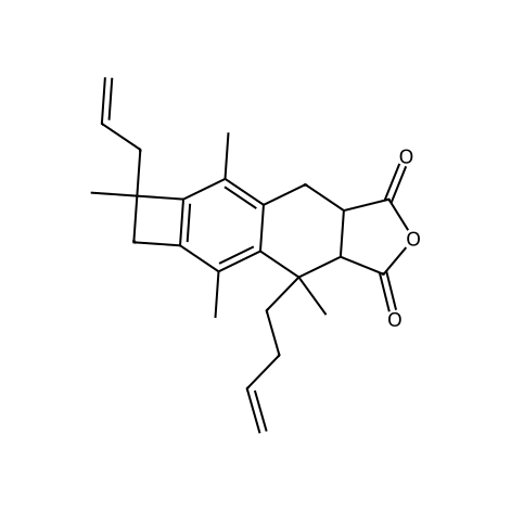 C=CCCC1(C)c2c(C)c3c(c(C)c2CC2C(=O)OC(=O)C21)C(C)(CC=C)C3